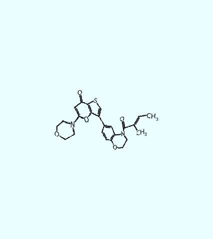 C/C=C(\C)C(=O)N1CCOc2ccc(-c3csc4c(=O)cc(N5CCOCC5)oc34)cc21